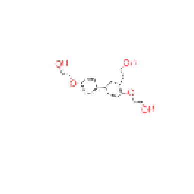 OCCOc1ccc(-c2ccc(OCCO)c(CCO)c2)cc1